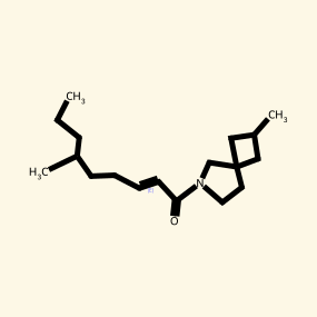 CCCC(C)CC/C=C/C(=O)N1CCC2(CC(C)C2)C1